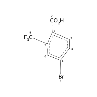 O=C(O)c1ccc(Br)cc1C(F)(F)F